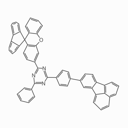 c1ccc(-c2nc(-c3ccc(-c4ccc5c(c4)-c4cccc6cccc-5c46)cc3)nc(-c3ccc4c(c3)Oc3ccccc3C43c4ccccc4-c4ccccc43)n2)cc1